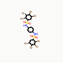 O=S(=O)(Nc1ccc(NS(=O)(=O)c2cc(Br)c(Br)c(Br)c2Br)cc1)c1cc(Br)c(Br)c(Br)c1Br